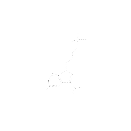 Cc1ccc2c(c1)c(C(=O)O)nn2COCC[Si](C)(C)C